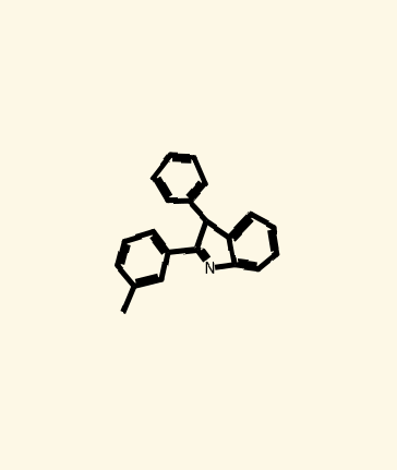 Cc1cccc(C2=Nc3ccccc3C2c2ccccc2)c1